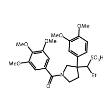 CCC(C1(c2ccc(OC)c(OC)c2)CCN(C(=O)c2cc(OC)c(OC)c(OC)c2)C1)S(=O)(=O)O